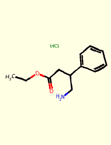 CCOC(=O)CC(CN)c1ccccc1.Cl